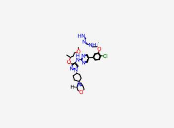 COCCC(C)Oc1nn([C@H]2CC[C@H](N3C4CC[C@H]3COC4)CC2)cc1Nc1ncc(-c2ccc(Cl)c(O[C@@H](C)CN/C=N\C=N)c2)cn1